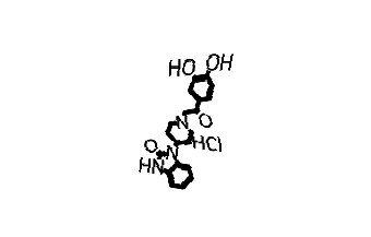 Cl.O=C(CN1CCC(n2c(=O)[nH]c3ccccc32)CC1)c1ccc(O)c(O)c1